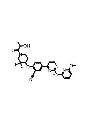 COc1cccc(Nc2nccc(-c3ccc(OC4CCN(C(=O)C(C)O)CC4(F)F)c(C#N)c3)n2)n1